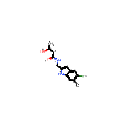 CCc1cc2[nH]c(CNC(=O)CC(C)O)cc2cc1Cl